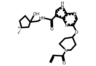 C=CC(=O)N1CCC(Oc2cnc3[nH]cc(C(=O)NCC4(O)CC[C@@H](C)C4)c3n2)CC1